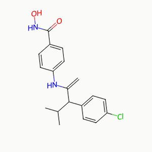 C=C(Nc1ccc(C(=O)NO)cc1)C(c1ccc(Cl)cc1)C(C)C